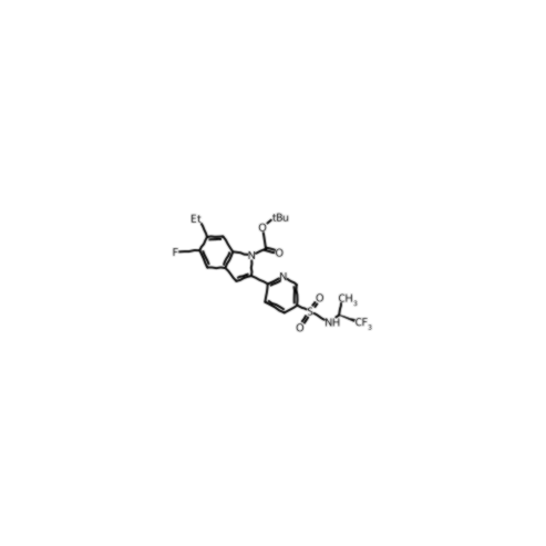 CCc1cc2c(cc1F)cc(-c1ccc(S(=O)(=O)N[C@@H](C)C(F)(F)F)cn1)n2C(=O)OC(C)(C)C